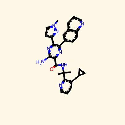 Cn1ccc(-c2nc(N)c(C(=O)NC(C)(C)c3ncccc3C3CC3)nc2-c2ccc3ncccc3c2)n1